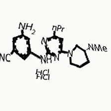 CCCc1cc(N2CCC[C@@H](NC)C2)nc(Nc2cc(N)cc(C#N)c2)n1.Cl.Cl